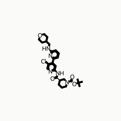 CC(C)(C)OC(=O)N1CCC[C@@H](C(=O)Nc2cc(-c3cccc(NCC4CCOCC4)n3)c(Cl)cn2)C1